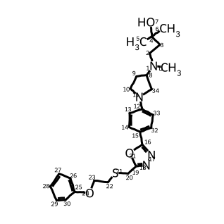 CN(CCC(C)(C)O)C1CCN(c2ccc(-c3nnc(CSCCOc4ccccc4)o3)cc2)C1